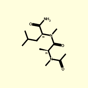 CC(=O)N(C)[C@@H](C)C(=O)N(C)[C@@H](CC(C)C)C(N)=O